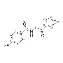 O=C(CNC(=O)c1ccc(F)cc1)c1ccoc1